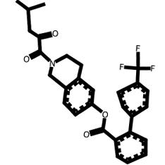 CC(C)CC(=O)C(=O)N1CCc2cc(OC(=O)c3ccccc3-c3ccc(C(F)(F)F)cc3)ccc2C1